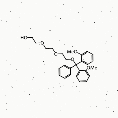 COc1ccccc1C(OCCOCCOCCO)(c1ccccc1)c1ccccc1OC